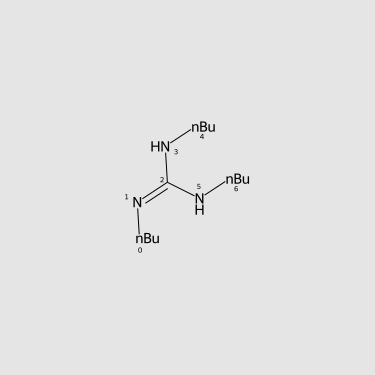 CCCCN=C(NCCCC)NCCCC